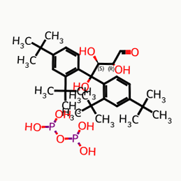 CC(C)(C)c1ccc(C(O)(c2ccc(C(C)(C)C)cc2C(C)(C)C)[C@@H](O)[C@@H](O)C=O)c(C(C)(C)C)c1.OP(O)OP(O)O